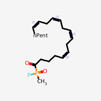 CCCCC/C=C\C/C=C\C/C=C\C/C=C\CCCC(=O)P(C)(=O)F